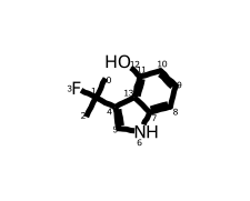 CC(C)(F)c1c[nH]c2cccc(O)c12